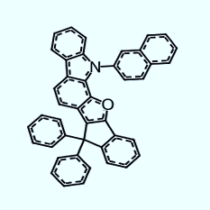 c1ccc(C2(c3ccccc3)c3ccccc3-c3oc4c(ccc5c6ccccc6n(-c6ccc7ccccc7c6)c54)c32)cc1